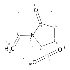 C=CN1CCCC1=O.[O]=[Ti]=[O]